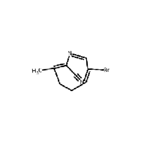 C\C1=C(C#N)/N=C\C(Br)=C/CC1